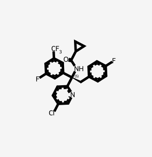 O=C(N[C@@](Cc1ccc(F)cc1)(c1cc(F)cc(C(F)(F)F)c1)c1ccc(Cl)cn1)C1CC1